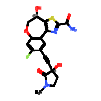 CN1CC[C@@](O)(C#Cc2cc3c(cc2F)OC[C@H](O)c2sc(C(N)=O)nc2-3)C1=O